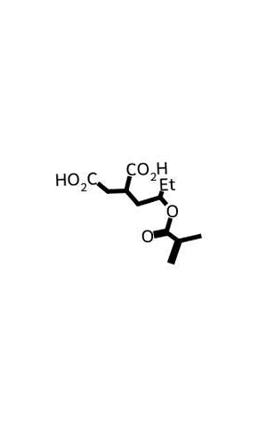 C=C(C)C(=O)OC(CC)CC(CC(=O)O)C(=O)O